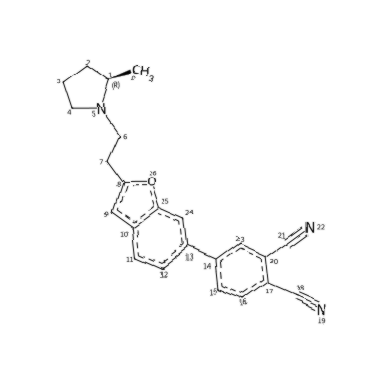 C[C@@H]1CCCN1CCc1cc2ccc(-c3ccc(C#N)c(C#N)c3)cc2o1